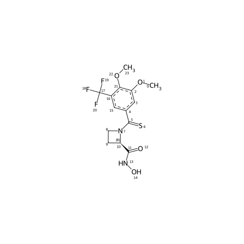 COc1cc(C(=S)N2CC[C@@H]2C(=O)NO)cc(C(F)(F)F)c1OC